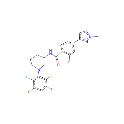 Cn1ccc(-c2ccc(C(=O)NC3CCCN(c4c(F)c(F)cc(F)c4F)C3)c(F)c2)n1